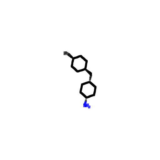 CC(C)[C@H]1CC[C@@H](C[C@H]2CC[C@@H](N)CC2)CC1